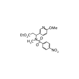 CCOC(=O)CC(c1ccc(OC)nc1)N(C)S(=O)(=O)c1ccc([N+](=O)[O-])cc1